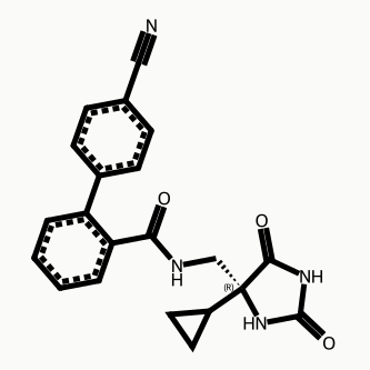 N#Cc1ccc(-c2ccccc2C(=O)NC[C@@]2(C3CC3)NC(=O)NC2=O)cc1